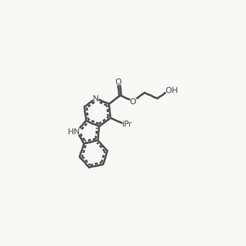 CC(C)c1c(C(=O)OCCO)ncc2[nH]c3ccccc3c12